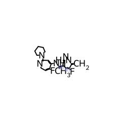 C=C(N)/C(F)=C\C(C#N)=C(/C)NC1=CC(N2CCCCC2)=NCC=C1F